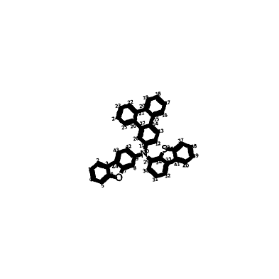 c1ccc2c(c1)oc1cc(N(c3ccc4c5ccccc5c5ccccc5c4c3)c3cccc4c3sc3ccccc34)ccc12